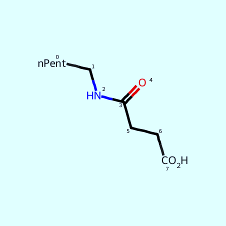 [CH2]CCCCCNC(=O)CCC(=O)O